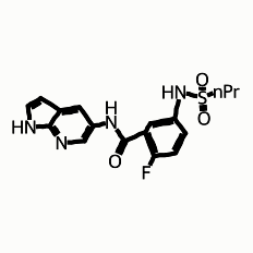 CCCS(=O)(=O)Nc1ccc(F)c(C(=O)Nc2cnc3[nH]ccc3c2)c1